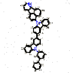 c1ccc(-c2cccc(-n3c4ccccc4c4cc(-c5ccc6c(c5)c5ccccc5n6-c5ccc6c7c(cccc57)-c5ncccc5-6)ccc43)c2)cc1